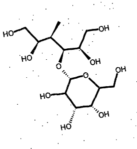 C[C@@H]([C@H](O[C@@H]1OC(CO)[C@H](O)[C@H](O)C1O)[C@H](O)CO)[C@@H](O)CO